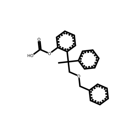 CC(COCc1ccccc1)(c1ccccc1)c1ccccc1OC(=O)O